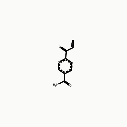 C=CC(=O)c1ccc(C(N)=O)cn1